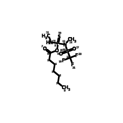 CCCCCCC(=O)OP(=S)(NC)N(C)S(=O)(=O)C(F)(F)F